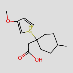 COC1=C[SH](C2(CC(=O)O)CCC(C)CC2)C=C1